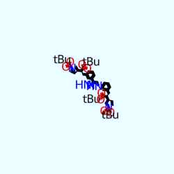 CC(C)(C)OC(=O)[C@@H](Cc1cccc(N/C=C(\N=N)c2cccc(C[C@H](C(=O)OC(C)(C)C)[C@H]3CCN(C(=O)OC(C)(C)C)C3)c2)c1)[C@H]1CCN(C(=O)OC(C)(C)C)C1